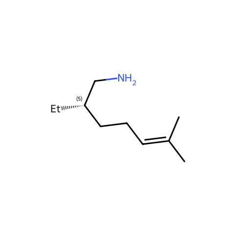 CC[C@H](CN)CCC=C(C)C